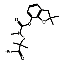 CN(SC(C)(C)C(=O)C(C)(C)C)C(=O)Oc1cccc2c1OC(C)(C)C2